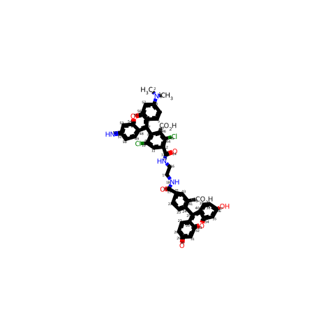 CN(C)c1ccc2c(-c3c(Cl)cc(C(=O)NCCNC(=O)c4ccc(-c5c6ccc(=O)cc-6oc6cc(O)ccc56)c(C(=O)O)c4)c(Cl)c3C(=O)O)c3ccc(=N)cc-3oc2c1